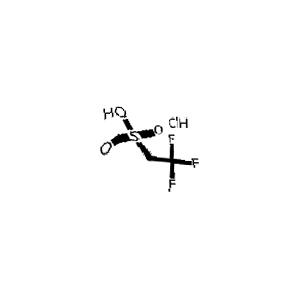 Cl.O=S(=O)(O)CC(F)(F)F